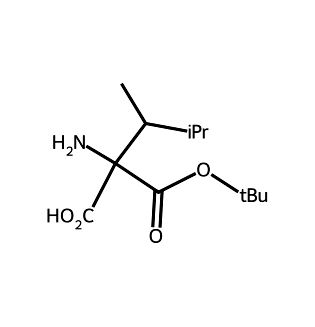 CC(C)C(C)C(N)(C(=O)O)C(=O)OC(C)(C)C